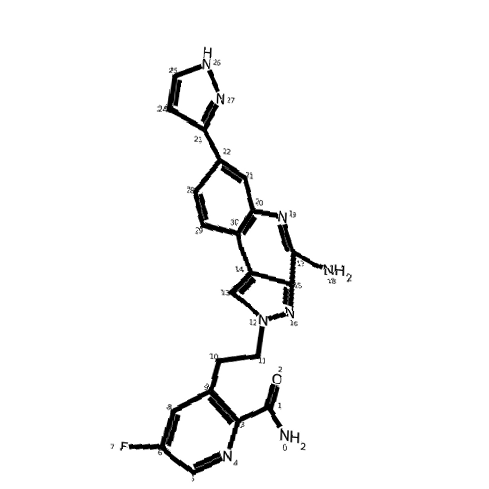 NC(=O)c1ncc(F)cc1CCn1cc2c(n1)c(N)nc1cc(-c3cc[nH]n3)ccc12